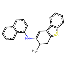 CC1Cc2sc3ccccc3c2C=C1Nc1cccc2ccccc12